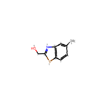 CC(=O)Oc1ccc2sc(CO)nc2c1